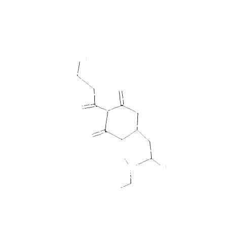 CCCC(=O)C1C(=O)CC(CC(C)[S+]([O-])CC)CC1=O